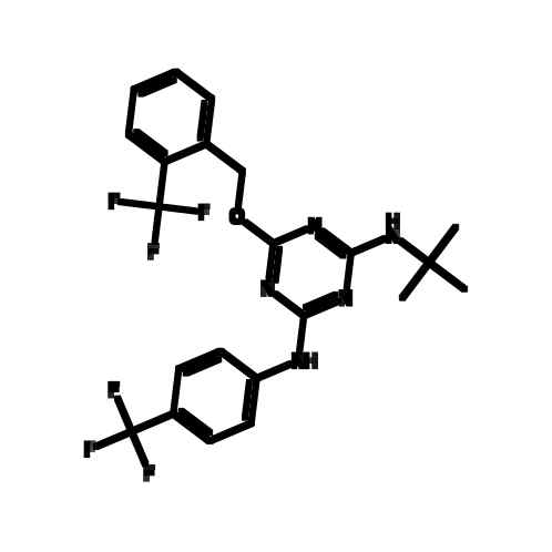 CC(C)(C)Nc1nc(Nc2ccc(C(F)(F)F)cc2)nc(OCc2ccccc2C(F)(F)F)n1